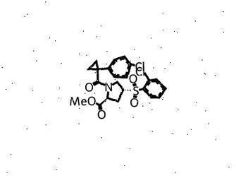 COC(=O)[C@@H]1C[C@@H](S(=O)(=O)c2ccccc2Cl)CN1C(=O)C1(c2ccc(Cl)cc2)CC1